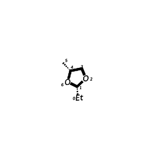 CC[C@H]1OC[C@@H](C)O1